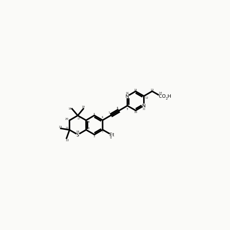 CCc1cc2c(cc1C#Cc1cnc(CC(=O)O)cn1)C(C)(C)CC(C)(C)S2